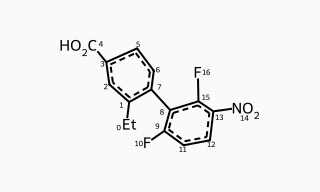 CCc1cc(C(=O)O)ccc1-c1c(F)ccc([N+](=O)[O-])c1F